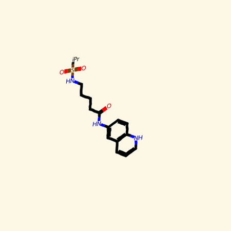 CC(C)S(=O)(=O)NCCCCC(=O)Nc1ccc2c(c1)C=C=CN2